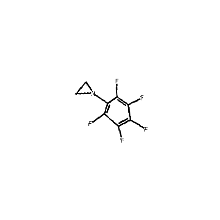 Fc1c(F)c(F)c(N2CC2)c(F)c1F